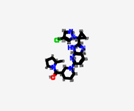 CC1CCCN1C(=O)C1CCCN(c2ccc3nc(C4(n5cc(Cl)cn5)CC4)[nH]c3n2)C1